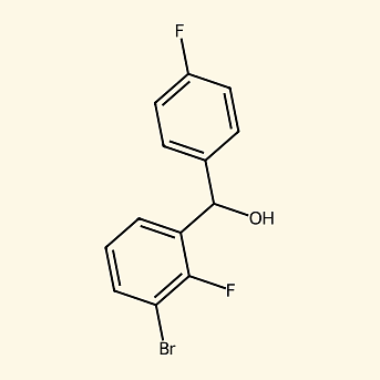 OC(c1ccc(F)cc1)c1cccc(Br)c1F